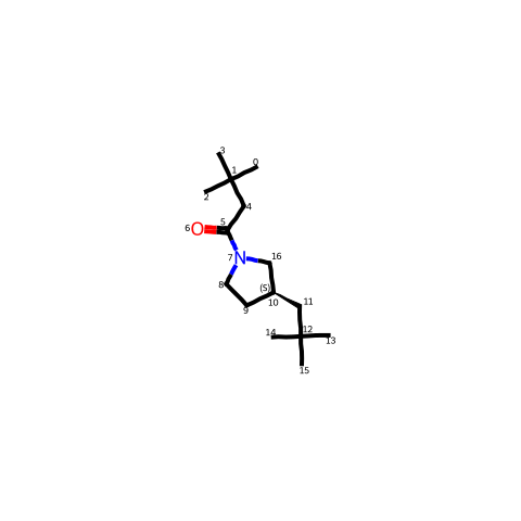 CC(C)(C)CC(=O)N1CC[C@H](CC(C)(C)C)C1